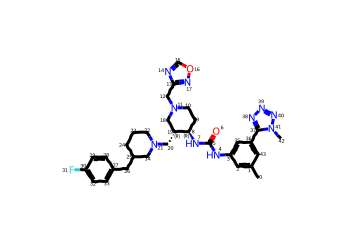 Cc1cc(NC(=O)N[C@@H]2CCN(Cc3ncon3)C[C@H]2CN2CCCC(Cc3ccc(F)cc3)C2)cc(-c2nnnn2C)c1